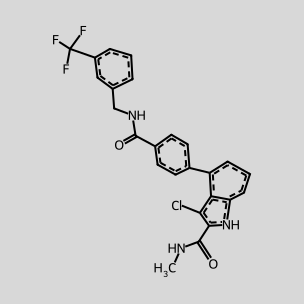 CNC(=O)c1[nH]c2cccc(-c3ccc(C(=O)NCc4cccc(C(F)(F)F)c4)cc3)c2c1Cl